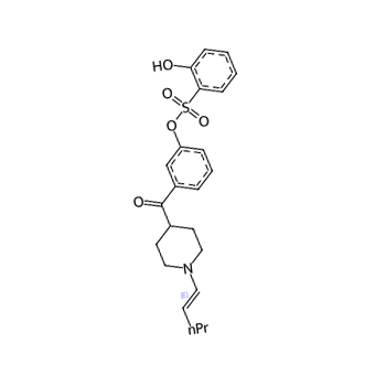 CCC/C=C/N1CCC(C(=O)c2cccc(OS(=O)(=O)c3ccccc3O)c2)CC1